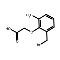 Cc1cccc(CBr)c1OCC(=O)O